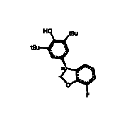 CC(C)(C)c1cc([C@@H]2[CH]Oc3c(F)cccc32)cc(C(C)(C)C)c1O